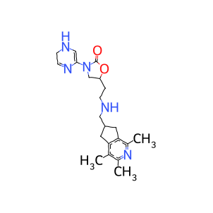 Cc1nc(C)c2c(c1C)CC(CNCCC1CN(C3=CNCC=N3)C(=O)O1)C2